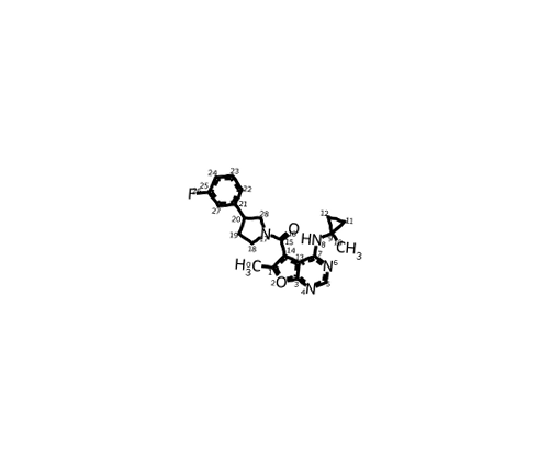 Cc1oc2ncnc(NC3(C)CC3)c2c1C(=O)N1CCC(c2cccc(F)c2)C1